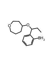 Bc1ccccc1C(CC)OC1CCCOCC1